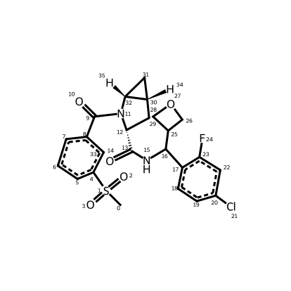 CS(=O)(=O)c1cccc(C(=O)N2[C@@H](C(=O)NC(c3ccc(Cl)cc3F)C3COC3)C[C@H]3C[C@H]32)c1